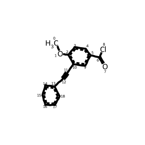 COc1ccc(C(=O)Cl)cc1C#Cc1ccccc1